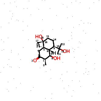 C[C@H]1C(=O)C[C@@H]2[C@@H](C1O)[C@H](C(C)(C)O)CC[C@@]2(C)O